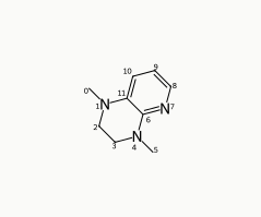 CN1CCN(C)c2ncccc21